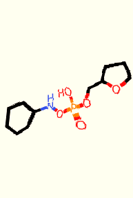 O=P(O)(OCC1CCCO1)ONC1CCCCC1